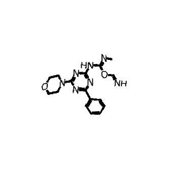 C/N=C(/Nc1nc(-c2ccccc2)nc(N2CCOCC2)n1)OC=N